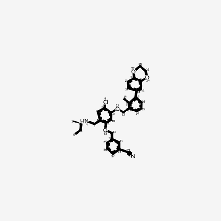 CC[C@@H](C)NCc1cc(Cl)c(OCc2cccc(-c3ccc4c(c3)OCCO4)c2C)cc1OCc1cccc(C#N)c1